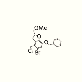 COCC1Cc2c(CCl)c(Br)cc(OCc3ccccc3)c2O1